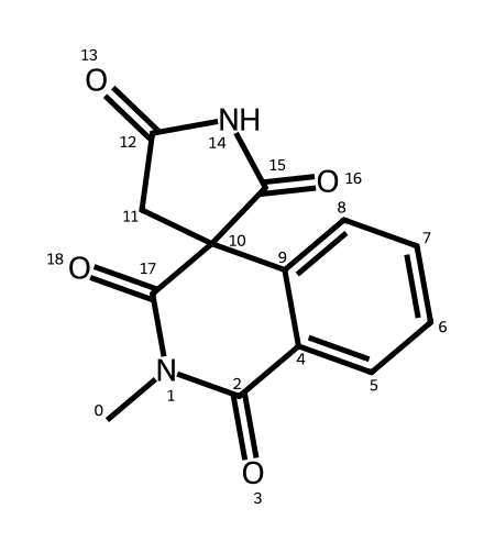 CN1C(=O)c2ccccc2C2(CC(=O)NC2=O)C1=O